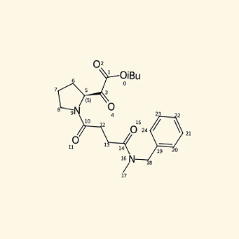 CC(C)COC(=O)C(=O)[C@@H]1CCCN1C(=O)CCC(=O)N(C)Cc1ccccc1